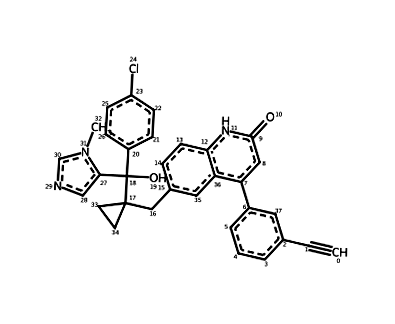 C#Cc1cccc(-c2cc(=O)[nH]c3ccc(CC4(C(O)(c5ccc(Cl)cc5)c5cncn5C)CC4)cc23)c1